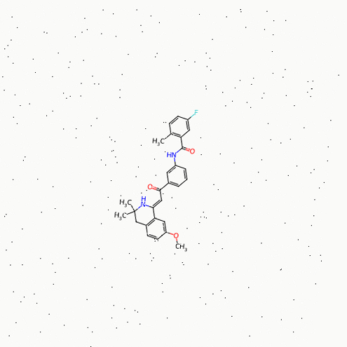 COc1ccc2c(c1)C(=CC(=O)c1cccc(NC(=O)c3cc(F)ccc3C)c1)NC(C)(C)C2